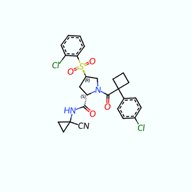 N#CC1(NC(=O)[C@@H]2C[C@@H](S(=O)(=O)c3ccccc3Cl)CN2C(=O)C2(c3ccc(Cl)cc3)CCC2)CC1